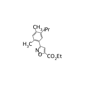 CCOC(=O)c1cc(-c2cc(C(C)C)c(C)cc2C)no1